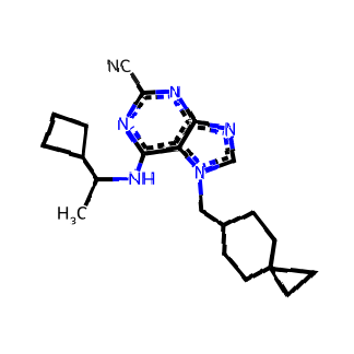 CC(Nc1nc(C#N)nc2ncn(CC3CCC4(CC3)CC4)c12)C1CCC1